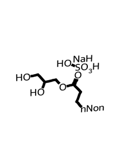 CCCCCCCCCCCC(=O)OCC(O)CO.O=S(=O)(O)O.[NaH]